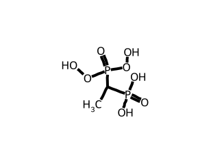 CC(P(=O)(O)O)P(=O)(OO)OO